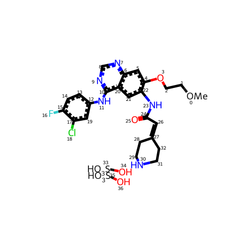 COCCOc1cc2ncnc(Nc3ccc(F)c(Cl)c3)c2cc1NC(=O)C=C1CCNCC1.O=S(=O)(O)O.O=S(=O)(O)O